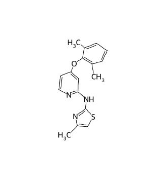 Cc1csc(Nc2cc(Oc3c(C)cccc3C)ccn2)n1